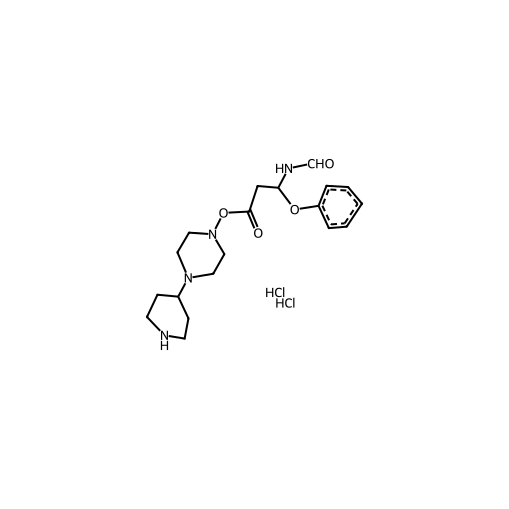 Cl.Cl.O=CNC(CC(=O)ON1CCN(C2CCNCC2)CC1)Oc1ccccc1